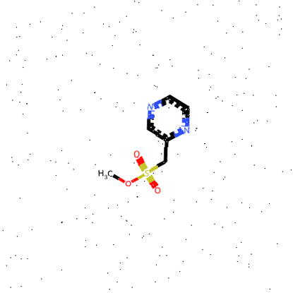 COS(=O)(=O)Cc1cnccn1